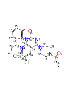 C=CC(=O)N1CCN(c2nc(=O)n(-c3ccccc3CCC)c3nc(Cl)c(Cl)cc23)CC1